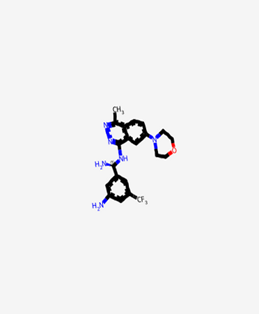 Cc1nnc(N[C@H](N)c2cc(N)cc(C(F)(F)F)c2)c2cc(N3CCOCC3)ccc12